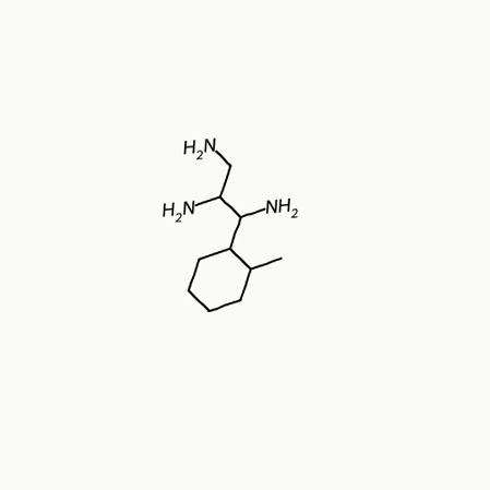 CC1CCCCC1C(N)C(N)CN